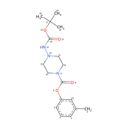 [CH2]c1cccc(OC(=O)N2CCN(NC(=O)OC(C)(C)C)CC2)c1